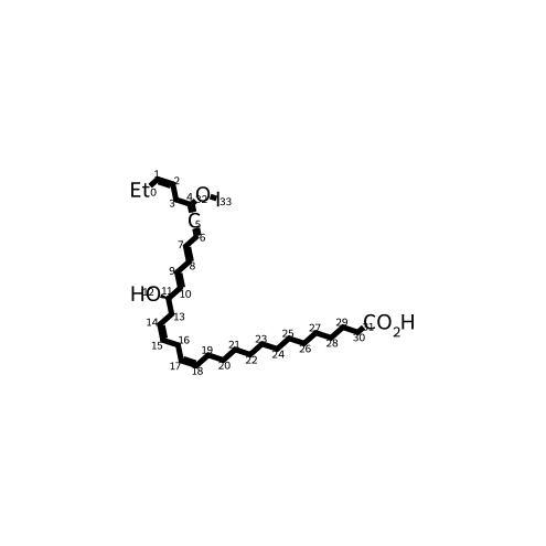 CC/C=C\CC(=C=C/C=C/C=C/[C@H](O)C/C=C\C/C=C\CCCCCCCCCCCCC(=O)O)OI